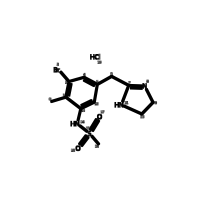 Cc1c(Br)cc(CC2=NCCN2)cc1NS(C)(=O)=O.Cl